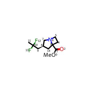 COC(=O)C12CCN1C[C@H](CC(C)(F)F)C2